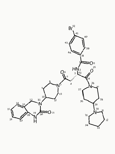 O=C(N[C@@H](CC(=O)N1CCC(N2Cc3ccccc3NC2=O)CC1)C(=O)N1CCC(N2CCCCC2)CC1)c1ccc(Br)cc1